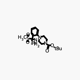 CC(C)C(N)(c1ccccc1N1CCN(C(=O)OC(C)(C)C)CC1)S(C)(=O)=O